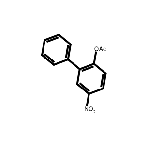 CC(=O)Oc1ccc([N+](=O)[O-])cc1-c1ccccc1